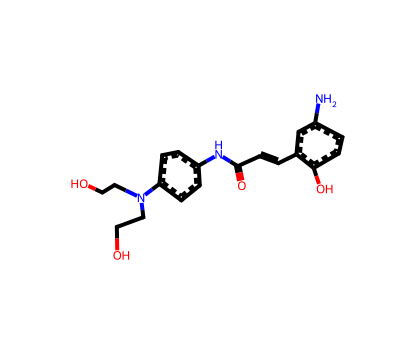 Nc1ccc(O)c(C=CC(=O)Nc2ccc(N(CCO)CCO)cc2)c1